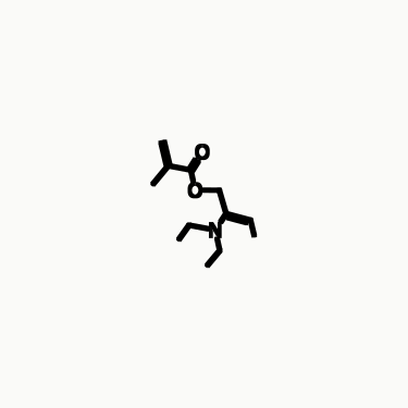 C=C(C)C(=O)OCC(=CC)N(CC)CC